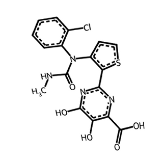 CNC(=O)N(c1ccccc1Cl)c1ccsc1-c1nc(O)c(O)c(C(=O)O)n1